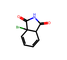 O=C1NC(=O)C2(Br)C=CC=CC12